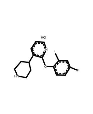 Cl.Fc1ccc(Oc2ncccc2C2CCNCC2)c(F)c1